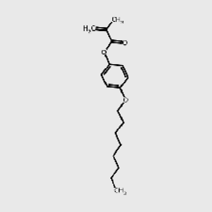 C=C(C)C(=O)Oc1ccc(OCCCCCCCC)cc1